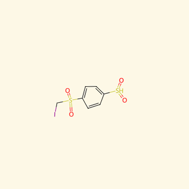 O=[SH](=O)c1ccc(S(=O)(=O)CI)cc1